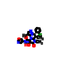 CCc1cnn([C@H](c2ccccc2Cl)[C@@H](C)c2nc(C(=O)Nc3cnoc3)c(O)c(=O)n2C)c1